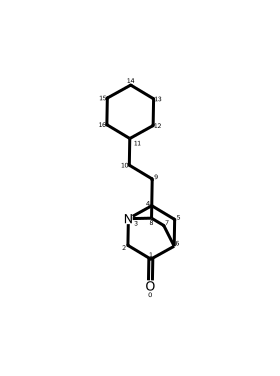 O=C1CN2CCC1CC2CCC1CCCCC1